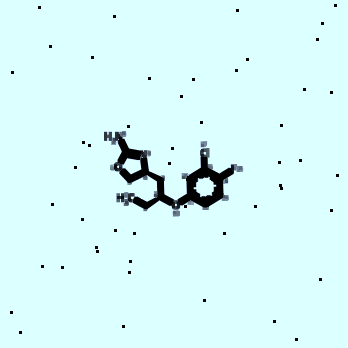 CC[C@@H](C[C@H]1COC(N)=N1)Oc1ccc(F)c(Cl)c1